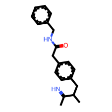 CC(=N)C(C)Cc1ccc(CC(=O)NCc2ccccc2)cc1